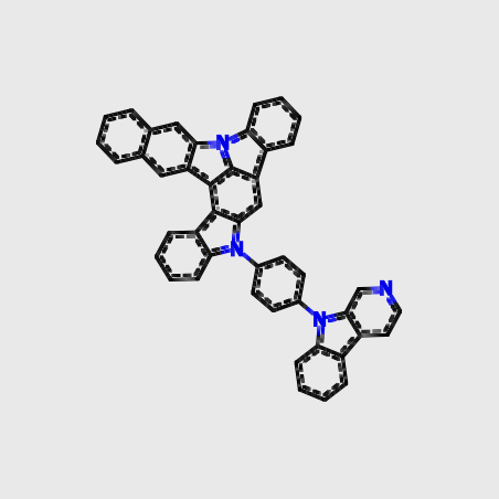 c1ccc2cc3c(cc2c1)c1c2c4ccccc4n(-c4ccc(-n5c6ccccc6c6ccncc65)cc4)c2cc2c4ccccc4n3c21